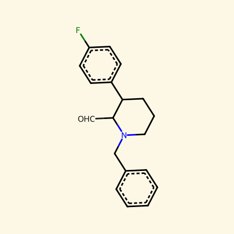 O=CC1C(c2ccc(F)cc2)CCCN1Cc1ccccc1